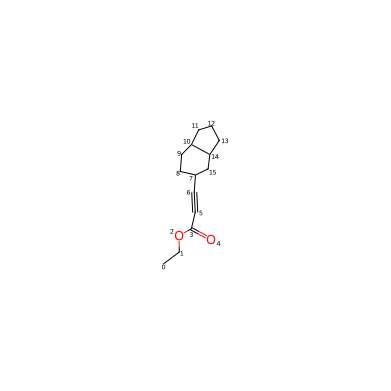 CCOC(=O)C#CC1CCC2CCCC2C1